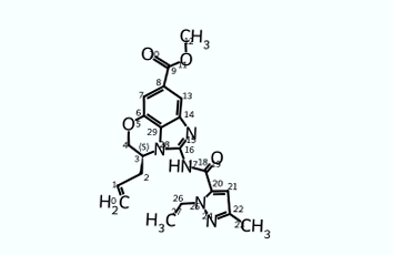 C=CC[C@H]1COc2cc(C(=O)OC)cc3nc(NC(=O)c4cc(C)nn4CC)n1c23